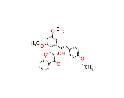 CCOc1ccc(C=Cc2cc(OC)cc(OC)c2-c2oc3ccccc3c(=O)c2O)cc1